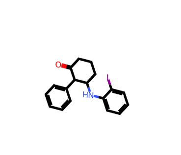 O=C1CCCC(Nc2ccccc2I)C1c1ccccc1